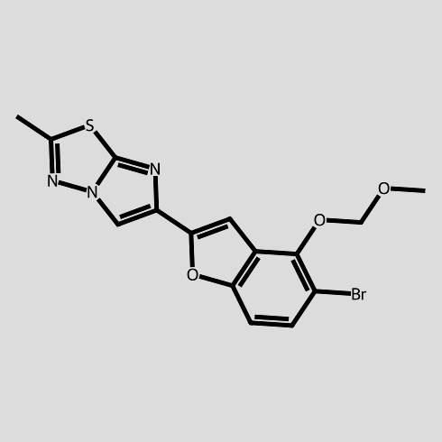 COCOc1c(Br)ccc2oc(-c3cn4nc(C)sc4n3)cc12